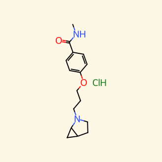 CNC(=O)c1ccc(OCCCN2CCC3CC32)cc1.Cl